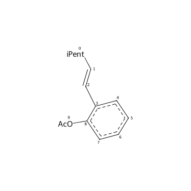 [CH2]C(C=Cc1ccccc1OC(C)=O)CCC